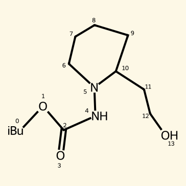 CCC(C)OC(=O)NN1CCCCC1CCO